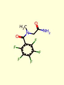 CN(CC(N)=O)C(=O)c1c(F)c(F)c(F)c(F)c1F